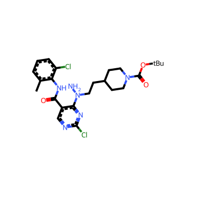 Cc1cccc(Cl)c1NC(=O)c1cnc(Cl)nc1N(N)CCC1CCN(C(=O)OC(C)(C)C)CC1